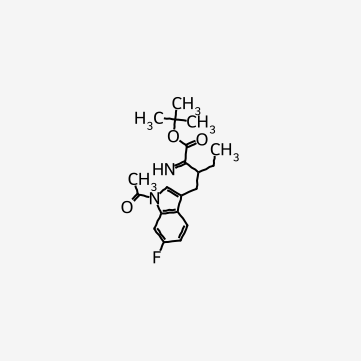 CCC(Cc1cn(C(C)=O)c2cc(F)ccc12)C(=N)C(=O)OC(C)(C)C